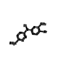 CCN(c1ccc(C(C)C)c(OCC(C)C)c1)c1ccc(C(=O)O)nn1